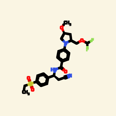 CCS(=O)(=O)c1ccc([C@H](CC#N)NC(=O)c2ccc(N3C[C@@H](OC)CC3COC(F)F)cc2)cc1